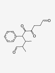 CC(C=O)C(C)C(C(=O)C(=O)CCC=O)c1ccccc1